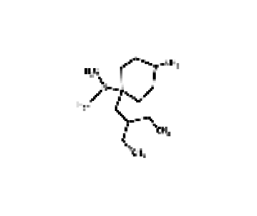 CCC(CC)CC1(N(C)C)CCC(C)CC1